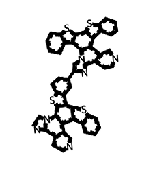 c1ccc2c(c1)sc1c3c4cc(-c5cn6c(n5)c5ccncc5c5c7c8ccccc8sc7c7sc8ccccc8c7c56)ccc4sc3c3c(c4cnccc4c4nccn43)c21